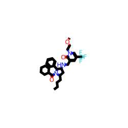 CCCCC1CC(NCc2cc(C(F)(F)F)cn(CCOC)c2=O)C(c2ccccc2)N1C(=O)C1CCCCC1